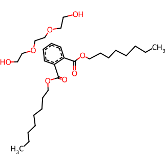 CCCCCCCCOC(=O)c1ccccc1C(=O)OCCCCCCCC.OCCOCCOCCO